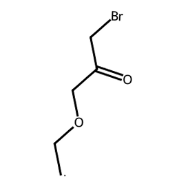 [CH2]COCC(=O)CBr